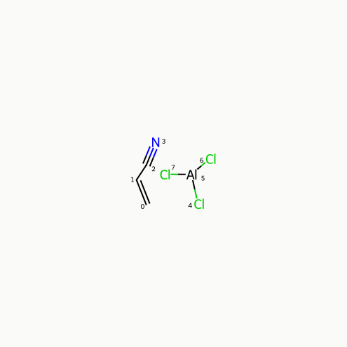 C=CC#N.[Cl][Al]([Cl])[Cl]